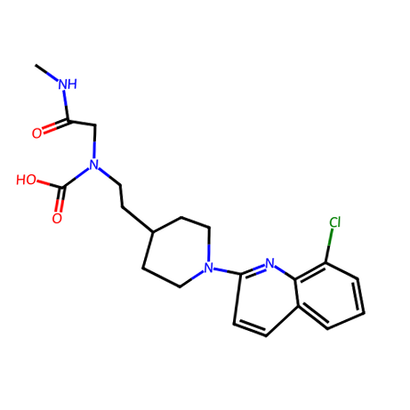 CNC(=O)CN(CCC1CCN(c2ccc3cccc(Cl)c3n2)CC1)C(=O)O